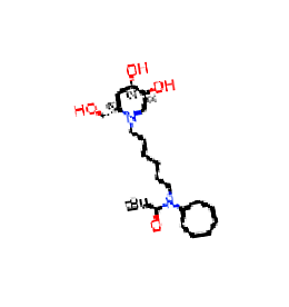 CC(C)(C)C(=O)N(CCCCCCN1C[C@H](O)[C@@H](O)C[C@H]1CO)C1CCCCCC1